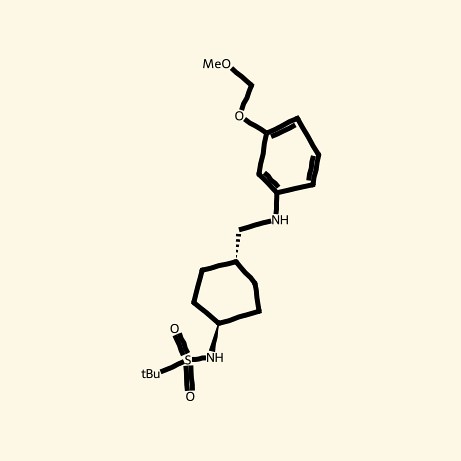 COCOc1cccc(NC[C@H]2CC[C@H](NS(=O)(=O)C(C)(C)C)CC2)c1